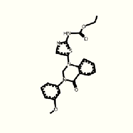 CCOC(=O)Nc1ncc(N2CN(c3cccc(OC)c3)C(=O)c3ccccc32)s1